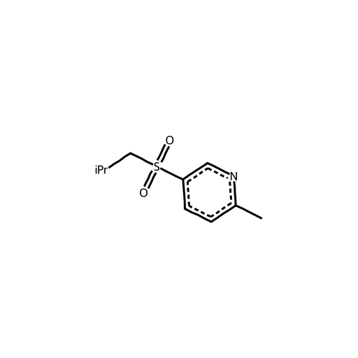 Cc1ccc(S(=O)(=O)CC(C)C)cn1